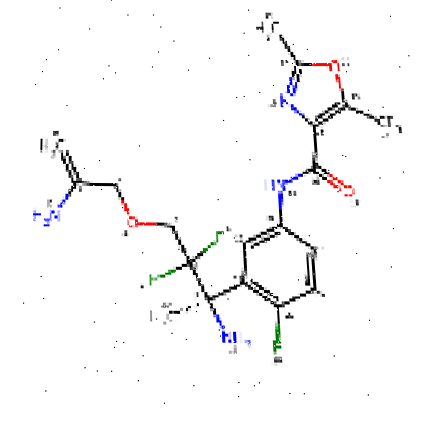 C=C(N)COCC(F)(F)[C@](C)(N)c1cc(NC(=O)c2nc(C)oc2C(F)(F)F)ccc1F